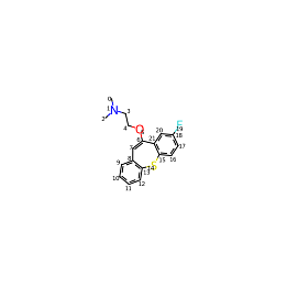 CN(C)CCOC1=Cc2ccccc2Sc2ccc(F)cc21